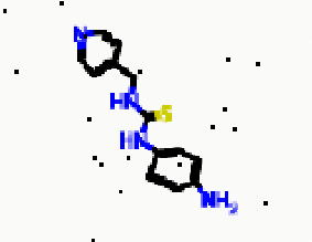 Nc1ccc(NC(=S)NCc2ccncc2)cc1